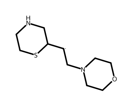 [CH](CN1CCOCC1)C1CNCCS1